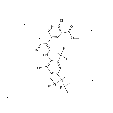 COC(=O)c1cc(/C(C=N)=C/Nc2c(Cl)cc(C(F)(C(F)(F)F)C(F)(F)F)cc2C(F)(F)F)cnc1Cl